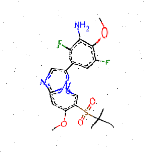 COc1cc2ncc(-c3cc(F)c(OC)c(N)c3F)n2cc1S(=O)(=O)C(C)(C)C